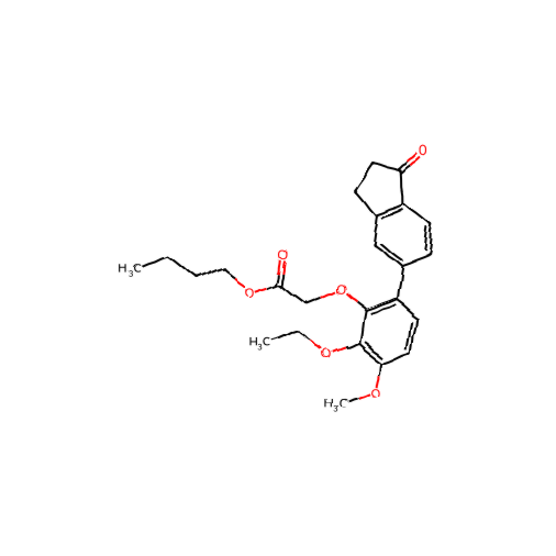 CCCCOC(=O)COc1c(-c2ccc3c(c2)CCC3=O)ccc(OC)c1OCC